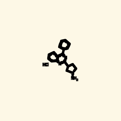 Cl.NN1CCC(c2nc(-c3ccccc3)c3ccccc3n2)C1